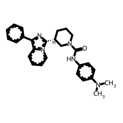 CN(C)c1ccc(NC(=O)N2CCC[C@@H](c3nc(-c4ccccc4)c4ccccn34)C2)cc1